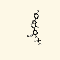 COc1cc(-n2cnn3cc(-c4ccc(Cl)cc4)cc3c2=O)ccc1OCC(C)(O)C(C)=O